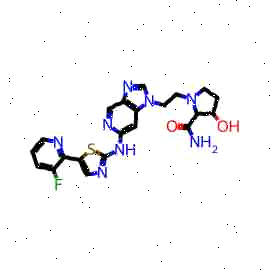 NC(=O)C1C(O)CCN1CCn1cnc2cnc(Nc3ncc(-c4ncccc4F)s3)cc21